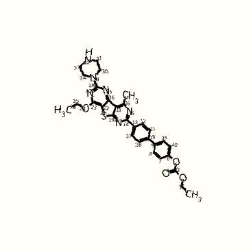 CCOC(=O)Oc1ccc(-c2ccc(-c3nc(C)c4c(n3)sc3c(OCC)nc(N5CCNCC5)nc34)cc2)cc1